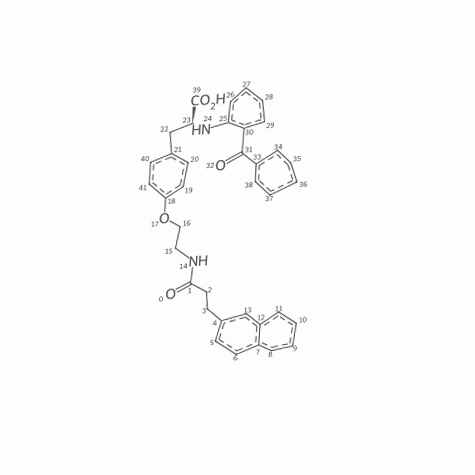 O=C(CCc1ccc2ccccc2c1)NCCOc1ccc(C[C@H](Nc2ccccc2C(=O)c2ccccc2)C(=O)O)cc1